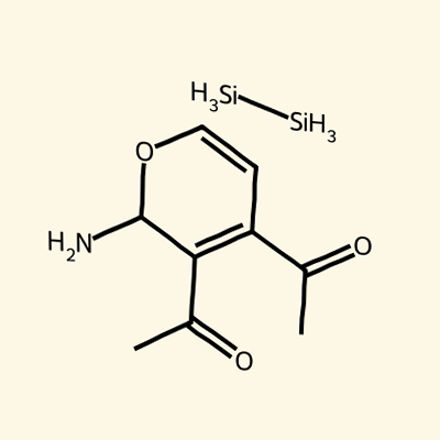 CC(=O)C1=C(C(C)=O)C(N)OC=C1.[SiH3][SiH3]